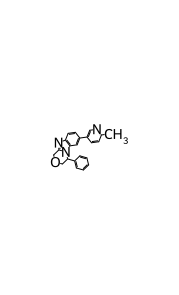 Cc1ccc(-c2ccc3nc4n(c3c2)C(c2ccccc2)COC4)cn1